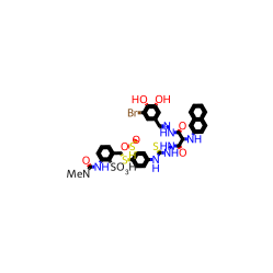 CNC(=O)Nc1cccc(CSc2ccc(NC(=S)NNC(=O)C(Nc3ccc4ccccc4c3)C(=O)N/N=C/c3cc(O)c(O)c(Br)c3)cc2[SH](=O)=O)c1S(=O)(=O)O